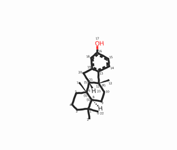 CC1(C)CCC[C@@]2(C)[C@H]1CC[C@@]1(C)c3ccc(O)cc3C[C@@H]21